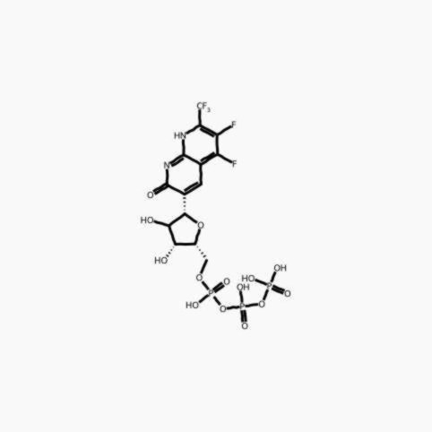 O=c1nc2[nH]c(C(F)(F)F)c(F)c(F)c-2cc1[C@@H]1O[C@H](COP(=O)(O)OP(=O)(O)OP(=O)(O)O)[C@H](O)C1O